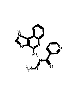 NN=NC(=O)c1cccnc1.Nc1nc2ccccc2c2[nH]cnc12